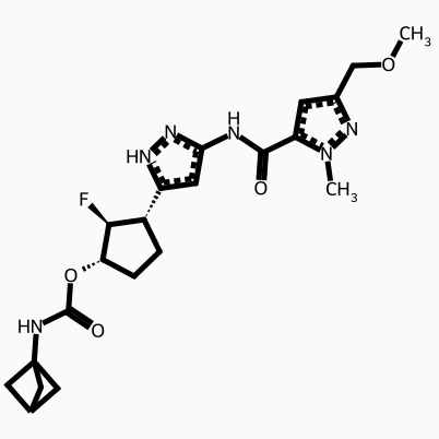 COCc1cc(C(=O)Nc2cc([C@@H]3CC[C@H](OC(=O)NC45CC(C4)C5)[C@H]3F)[nH]n2)n(C)n1